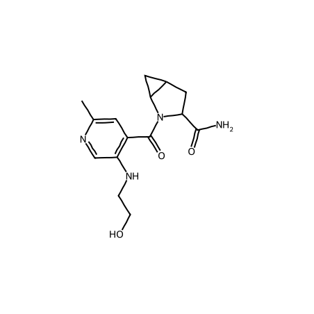 Cc1cc(C(=O)N2C(C(N)=O)CC3CC32)c(NCCO)cn1